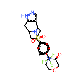 O=C1COCCN1c1ccc(C2CC3Cc4[nH]ncc4C(C2)N3S(=O)(=O)c2ccc(C(F)(F)F)cc2)cc1